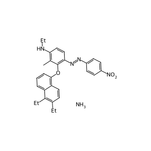 CCNc1ccc(N=Nc2ccc([N+](=O)[O-])cc2)c(Oc2cccc3c(CC)c(CC)ccc23)c1C.N